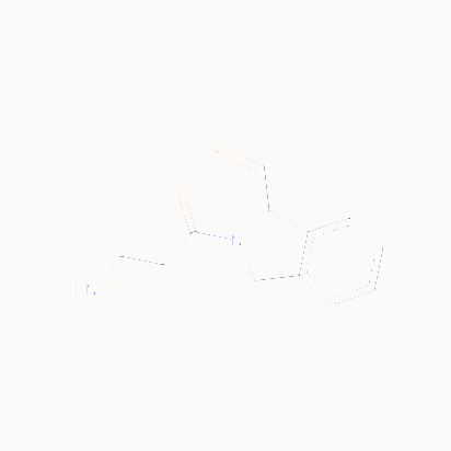 NCCC(=O)N1Cc2ccccc2C1C=O